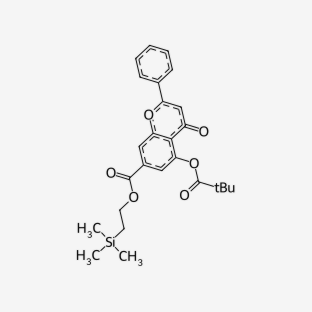 CC(C)(C)C(=O)Oc1cc(C(=O)OCC[Si](C)(C)C)cc2oc(-c3ccccc3)cc(=O)c12